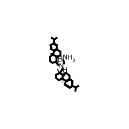 CC(C)c1ccc2c(c1)CC[C@H]1[C@@](C)(CN(CCN)C[C@@]3(C)CCC[C@]4(C)c5ccc(C(C)C)cc5CC[C@@H]34)CCC[C@]21C